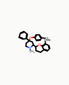 COc1cccc2c1OC(C1CC(Oc3ccc(C(F)(F)F)cc3)(c3ccccc3)CCN1C)CC2